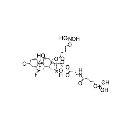 C[C@]12C=CC(=O)C=C1[C@@H](F)CC1C3C[C@@H](O)[C@](OC(=O)CCCON(O)O)(C(=O)COC(=O)CCNC(=O)CCCON(O)O)[C@@]3(C)C[C@H](O)[C@@]12F